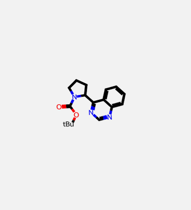 CC(C)(C)OC(=O)N1CCCC1c1ncnc2ccccc12